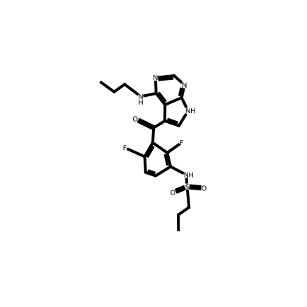 CCCNc1ncnc2[nH]cc(C(=O)c3c(F)ccc(NS(=O)(=O)CCC)c3F)c12